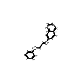 c1ccc(OCCOc2ccc3cncnc3c2)cc1